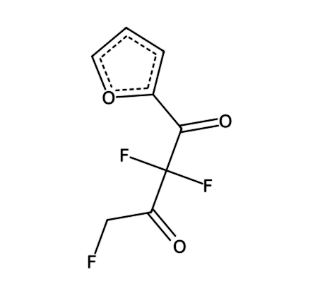 O=C(CF)C(F)(F)C(=O)c1ccco1